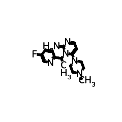 CC(c1ccc(F)cn1)N1C(N2CCN(C)CC2)=CC=NC1N